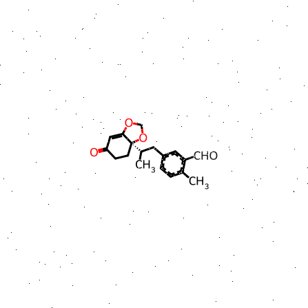 Cc1ccc(CC(C)[C@]23CCC(=O)C=C2OCO3)cc1C=O